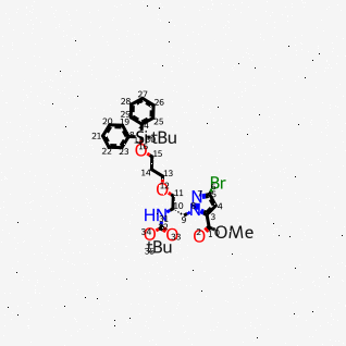 COC(=O)c1cc(Br)nn1C[C@@H](COCCCO[Si](c1ccccc1)(c1ccccc1)C(C)(C)C)NC(=O)OC(C)(C)C